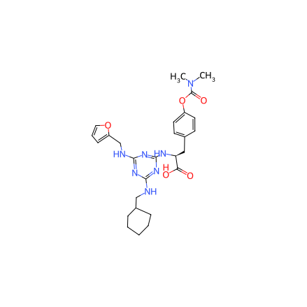 CN(C)C(=O)Oc1ccc(C[C@H](Nc2nc(NCc3ccco3)nc(NCC3CCCCC3)n2)C(=O)O)cc1